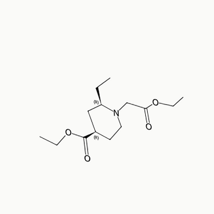 CCOC(=O)CN1CC[C@@H](C(=O)OCC)C[C@H]1CC